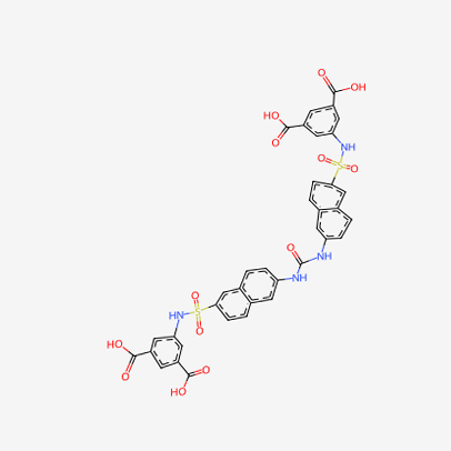 O=C(Nc1ccc2cc(S(=O)(=O)Nc3cc(C(=O)O)cc(C(=O)O)c3)ccc2c1)Nc1ccc2cc(S(=O)(=O)Nc3cc(C(=O)O)cc(C(=O)O)c3)ccc2c1